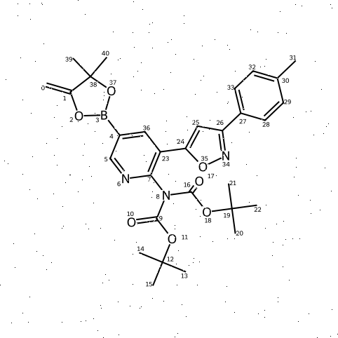 C=C1OB(c2cnc(N(C(=O)OC(C)(C)C)C(=O)OC(C)(C)C)c(-c3cc(-c4ccc(C)cc4)no3)c2)OC1(C)C